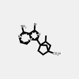 CC1CC2(C(=O)O)CCC1(c1nc(Br)c3c(N)nccn13)C2